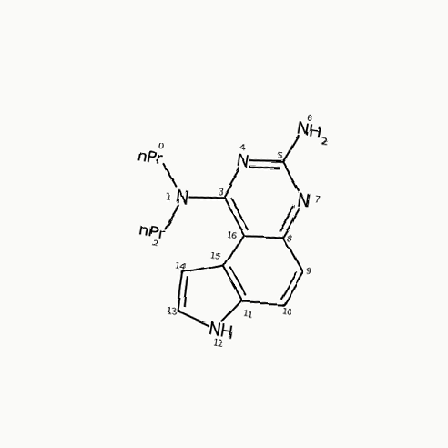 CCCN(CCC)c1nc(N)nc2ccc3[nH]ccc3c12